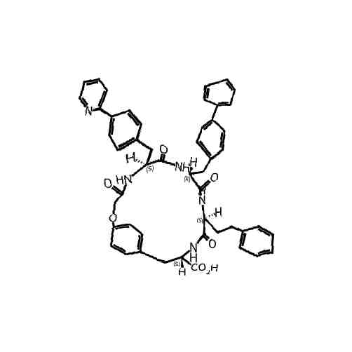 O=C1COc2ccc(cc2)C[C@@H](C(=O)O)NC(=O)[C@H](CCc2ccccc2)NC(=O)[C@@H](Cc2ccc(-c3ccccc3)cc2)NC(=O)[C@H](Cc2ccc(-c3ccccn3)cc2)N1